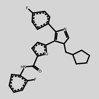 O=C(Nc1ccccc1F)c1ccc(C2=C(c3ccc(F)cc3)N=CC2CC2CCCC2)o1